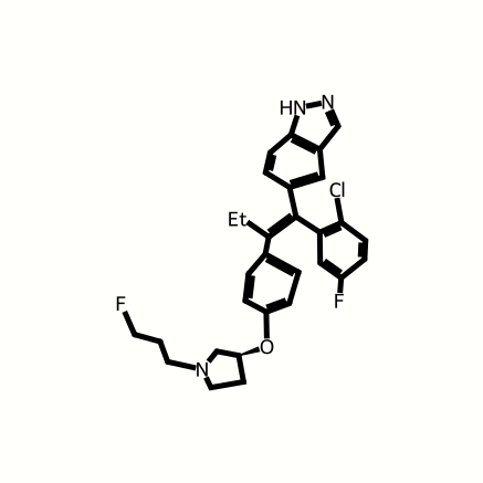 CC/C(=C(\c1ccc2[nH]ncc2c1)c1cc(F)ccc1Cl)c1ccc(O[C@H]2CCN(CCCF)C2)cc1